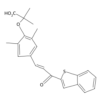 Cc1cc(C=CC(=O)c2cc3ccccc3s2)cc(C)c1OC(C)(C)C(=O)O